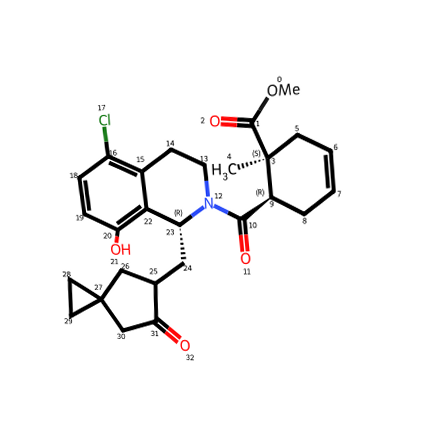 COC(=O)[C@@]1(C)CC=CC[C@H]1C(=O)N1CCc2c(Cl)ccc(O)c2[C@H]1CC1CC2(CC2)CC1=O